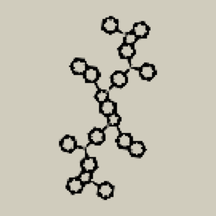 c1ccc(N(c2ccc(-n3c(-c4ccc5ccccc5c4)cc4cc5c(cc(-c6ccc7ccccc7c6)n5-c5ccc(N(c6ccccc6)c6ccc7c(c6)c6ccccc6n7-c6ccccc6)cc5)cc43)cc2)c2ccc3c(c2)c2ccccc2n3-c2ccccc2)cc1